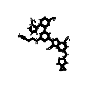 C#CCCNc1cc(-c2cc(C#N)ccc2-c2nncn2C)cc(N2Cc3c(cc(CN4CCC5(CC5)C4)cc3C(F)(F)F)C2=O)c1